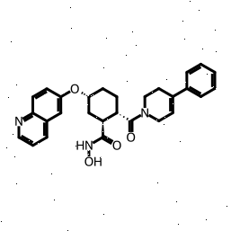 O=C(NO)[C@H]1C[C@H](Oc2ccc3ncccc3c2)CC[C@@H]1C(=O)N1CC=C(c2ccccc2)CC1